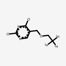 [2H]C([2H])([2H])COCc1cnc(Cl)nc1Cl